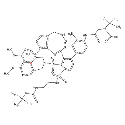 COc1ccc(CN(Cc2ccc(OC)cc2)S(=O)(=O)c2c(S(=O)(=O)NCCNC(=O)OC(C)(C)C)ccc(-c3ccc(NC(=O)CN(C(=O)O)C(C)(C)C)c(N)c3)c2C2=Nc3cc(ccc3OC)CNN=N2)cc1